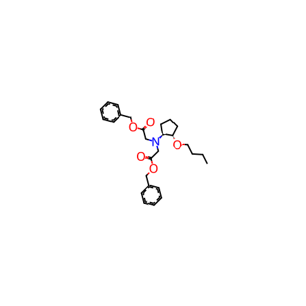 CCCCO[C@H]1CCC[C@@H]1N(CC(=O)OCc1ccccc1)CC(=O)OCc1ccccc1